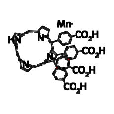 O=C(O)c1ccc(-c2c(-c3ccc(C(=O)O)cc3)c3c(-c4ccc(C(=O)O)cc4)c4nc(cc5ccc(cc6nc(cc2n3-c2ccc(C(=O)O)cc2)C=C6)[nH]5)C=C4)cc1.[Mn]